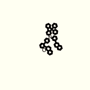 c1ccc(C2(c3ccccc3)c3ccccc3-c3ccc(N(c4ccc(-c5cccc6oc7c8ccccc8ccc7c56)cc4)c4cccc(-c5ccc6ccccc6c5)c4)cc32)cc1